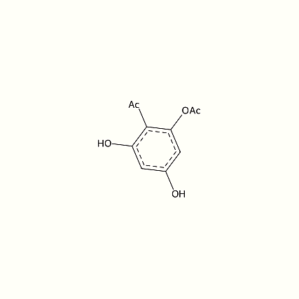 CC(=O)Oc1cc(O)cc(O)c1C(C)=O